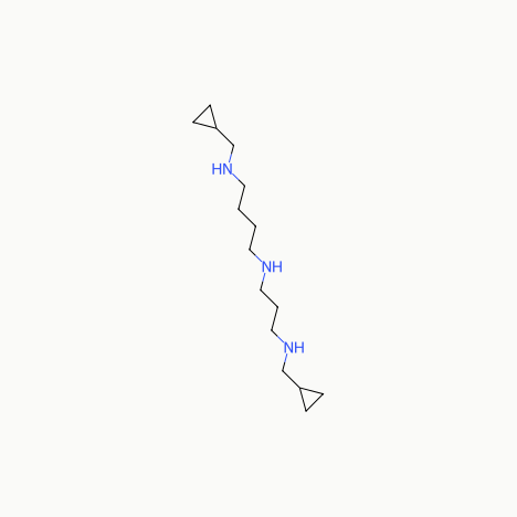 C(CCNCC1CC1)CNCCCNCC1CC1